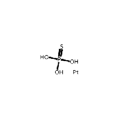 OP(O)(O)=S.[Pt]